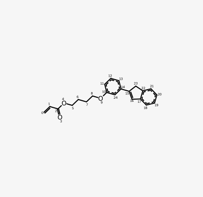 C=CC(=O)OCCCCOc1cccc(C2=Cc3ccccc3C2)c1